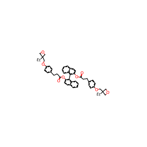 CCC1(COc2ccc(CCC(=O)Oc3ccc4ccccc4c3-c3c(OC(=O)CCc4ccc(OCC5(CC)COC5)cc4)ccc4ccccc34)cc2)COC1